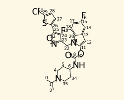 CC(C)N1CCC(NC(=O)Oc2cc3cc(F)cc(F)c3n2Cc2cc(-c3ccc(Cl)s3)on2)CC1